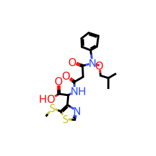 CSc1scnc1C(NC(=O)CC(=O)N(OCC(C)C)c1ccccc1)C(=O)O